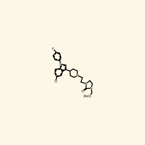 COCN1CCN(CCN2CCC(c3cn(-c4ccc(F)cc4)c4ccc(Cl)cc34)CC2)C1=O